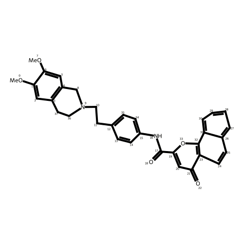 COc1cc2c(cc1OC)CN(CCc1ccc(NC(=O)c3cc(=O)c4ccc5ccccc5c4o3)cc1)CC2